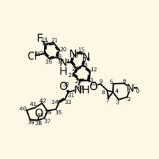 CN1CCC2(CC1)CC2COc1cc2ncnc(Nc3ccc(F)c(Cl)c3)c2cc1NC(=O)/C=C/CC1CC2CCC(C1)O2